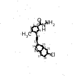 Cc1ccc(C(=O)NN)cc1C#Cc1cnc2ccc(Cl)cc2c1